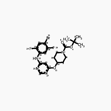 CC(C)(C)OC(=O)N1CCC(Oc2cc(Nc3cc(F)c(Br)cc3F)ncn2)CC1